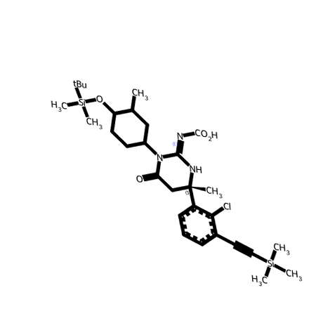 CC1CC(N2C(=O)C[C@@](C)(c3cccc(C#C[Si](C)(C)C)c3Cl)N/C2=N\C(=O)O)CCC1O[Si](C)(C)C(C)(C)C